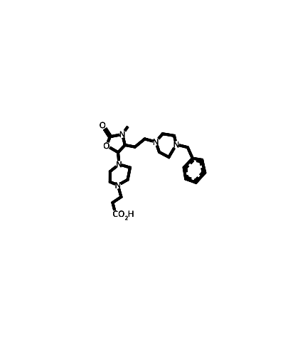 CN1C(=O)OC(N2CCN(CCC(=O)O)CC2)C1CCN1CCN(Cc2ccccc2)CC1